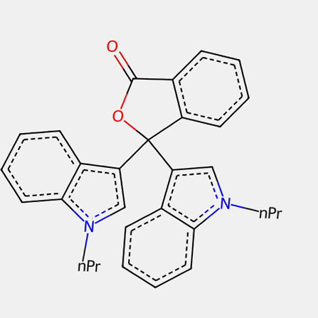 CCCn1cc(C2(c3cn(CCC)c4ccccc34)OC(=O)c3ccccc32)c2ccccc21